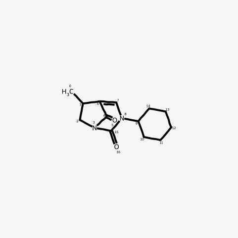 CC1Cn2c(=O)c1cn(C1CCCCC1)c2=O